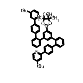 CC(C)(C)c1ccnc(-c2ccc(-c3ccccc3-c3cc(B4OC(C)(C)C(C)(C)O4)cc(-c4ccccc4-c4ccc(-c5cc(C(C)(C)C)ccn5)cc4)c3)cc2)c1